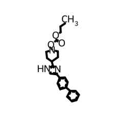 CCCCOC(=O)ON1CCC(c2nc(-c3ccc(-c4ccccc4)cc3)c[nH]2)CC1